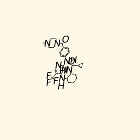 CN1CCN(C(=O)c2ccc(Nc3ncc(C(F)(F)F)c(N[C@@H]4CCCC[C@@H]4NC(=O)C4CC4)n3)cc2)CC1